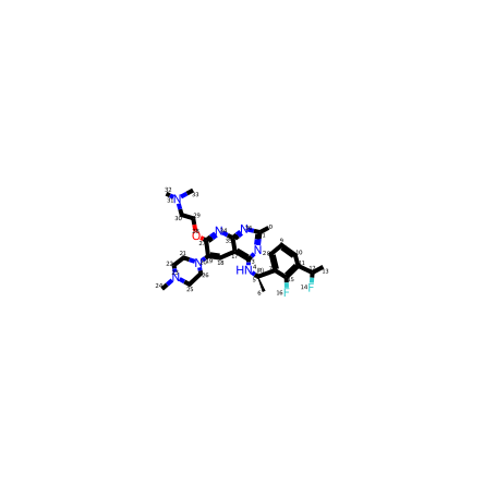 Cc1nc(N[C@H](C)c2cccc(C(C)F)c2F)c2cc(N3CCN(C)CC3)c(OCCN(C)C)nc2n1